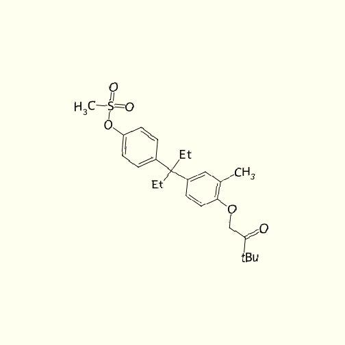 CCC(CC)(c1ccc(OS(C)(=O)=O)cc1)c1ccc(OCC(=O)C(C)(C)C)c(C)c1